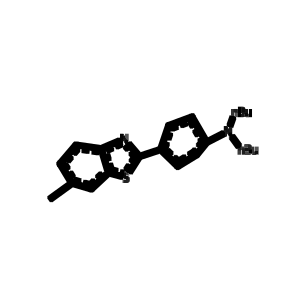 CCCCN(CCCC)c1ccc(-c2nc3ccc(C)cc3s2)cc1